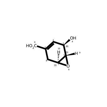 O=C(O)C1=C[C@@H](O)[C@@H]2O[C@H]2C1